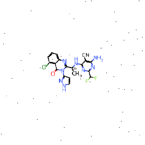 C[C@H](Nc1nc(C(F)F)nc(N)c1C#N)c1nc2cccc(Cl)c2c(=O)n1-c1cc[nH]n1